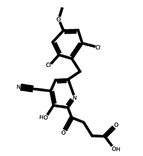 COc1cc(Cl)c(Cc2cc(C#N)c(O)c(C(=O)CCC(=O)O)n2)c(Cl)c1